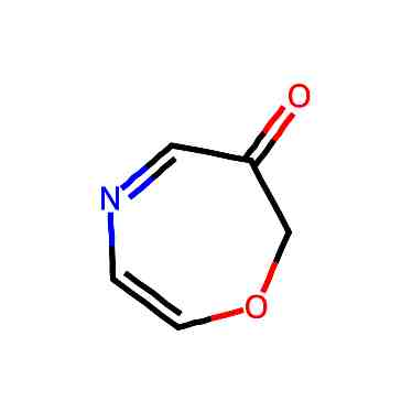 O=C1C=NC=COC1